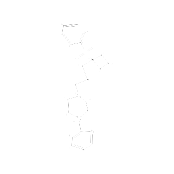 O=S(=O)(c1ccccc1)C1(CCCN2CCN(c3ccccn3)CC2)CCC1